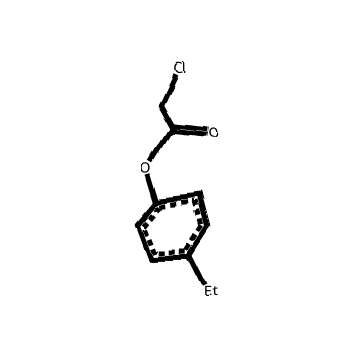 CCc1ccc(OC(=O)CCl)cc1